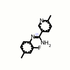 Cc1ccc(/N=C(\N)c2ccc(C)nc2)c(F)c1